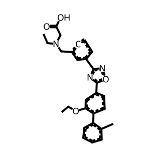 CCOc1cc(-c2nc(-c3cccc(CN(CC)CC(=O)O)c3)no2)ccc1-c1ccccc1C